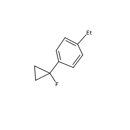 CCc1ccc(C2(F)CC2)cc1